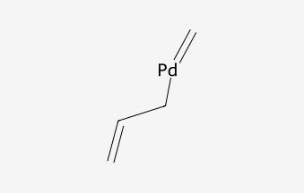 C=C[CH2][Pd]=[CH2]